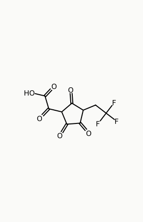 O=C(O)C(=O)C1C(=O)C(=O)C(CC(F)(F)F)C1=O